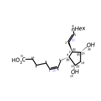 CCCCCC/C=C/[C@@H]1[C@@H](C/C=C\CCCC(=O)O)[C@@H](O)C[C@H]1O